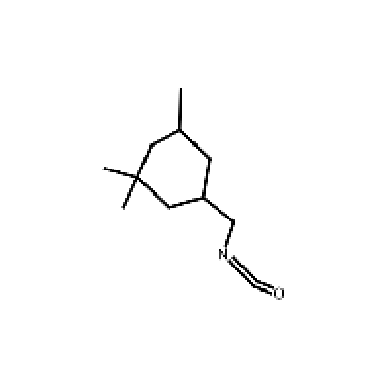 CC1CC(CN=C=O)CC(C)(C)C1